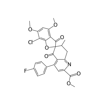 COC(=O)c1cc(-c2ccc(F)cc2)c2c(n1)CC(C)C1(Oc3c(Cl)c(OC)cc(OC)c3C1=O)C2=O